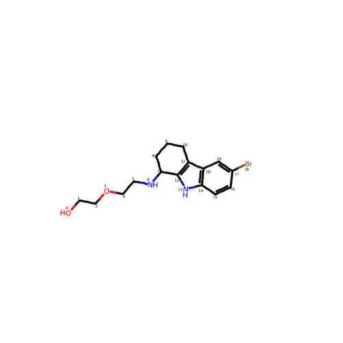 OCCOCCNC1CCCc2c1[nH]c1ccc(Br)cc21